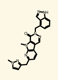 Cn1ccc(Cc2ccc3c4cnn(Cc5cccc6[nH]ncc56)c(=O)c4n(C)c3n2)n1